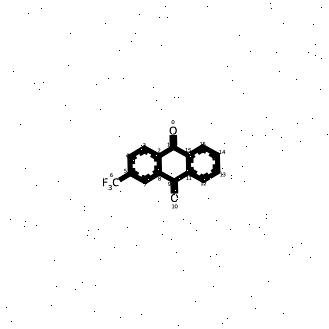 O=C1c2c[c]c(C(F)(F)F)cc2C(=O)c2ccccc21